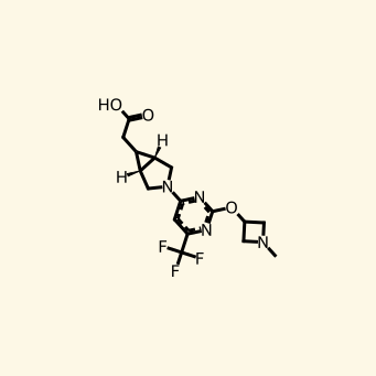 CN1CC(Oc2nc(N3C[C@@H]4C(CC(=O)O)[C@@H]4C3)cc(C(F)(F)F)n2)C1